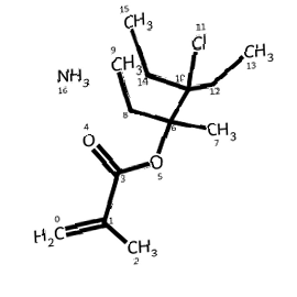 C=C(C)C(=O)OC(C)(CC)C(Cl)(CC)CC.N